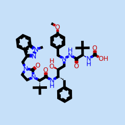 COc1ccc(CN(C[C@H](O)[C@H](Cc2ccccc2)NC(=O)[C@@H](N2CCN(Cc3nn(C)c4ccccc34)C2=O)C(C)(C)C)NC(=O)[C@@H](NC(=O)O)C(C)(C)C)cc1